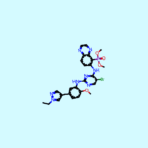 CCn1cc(-c2ccc(OC)c(Nc3ncc(Br)c(Nc4ccc5nccnc5c4P(=O)(OC)OC)n3)c2)cn1